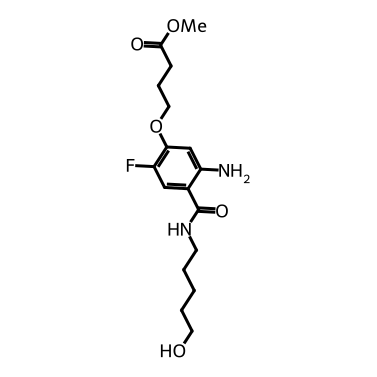 COC(=O)CCCOc1cc(N)c(C(=O)NCCCCCO)cc1F